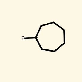 F[C]1CCCCCC1